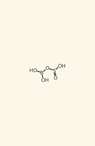 O=S(O)OB(O)O